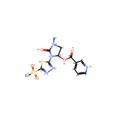 CCS(=O)(=O)c1nnc(N2C(=O)N(C)CC2OC(=O)c2cccnc2)s1